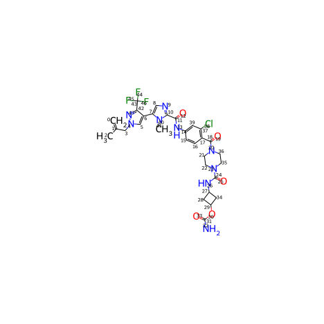 C=C(C)Cn1cc(-c2cnc(C(=O)Nc3ccc(C(=O)N4CCN(C(=O)NC5CC(OC(N)=O)C5)CC4)c(Cl)c3)n2C)c(C(F)(F)F)n1